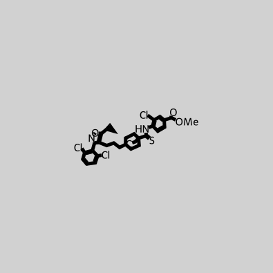 COC(=O)c1ccc(NC(=S)C23CCC(CCCc4c(-c5c(Cl)cccc5Cl)noc4C4CC4)(CC2)CC3)c(Cl)c1